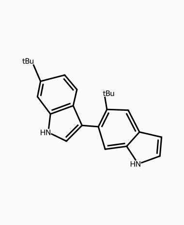 CC(C)(C)c1ccc2c(-c3cc4[nH]ccc4cc3C(C)(C)C)c[nH]c2c1